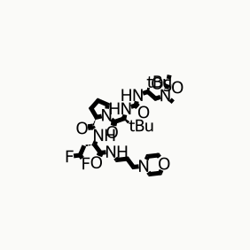 CN(C[C@@H](NC(=O)N[C@H](C(=O)N1CCC[C@H]1C(=O)N[C@@H](CC(F)F)C(=O)NCCCN1CCOCC1)C(C)(C)C)C(C)(C)C)S(C)(=O)=O